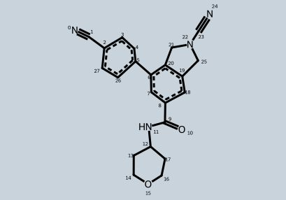 N#Cc1ccc(-c2cc(C(=O)NC3CCOCC3)cc3c2CN(C#N)C3)cc1